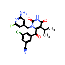 CC(C)c1c(C(=O)c2cc(Cl)cc(C#N)c2)n(Cc2cc(N)nc(F)c2)c(=O)[nH]c1=O